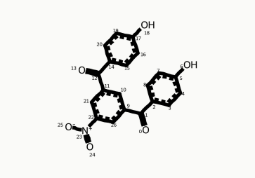 O=C(c1ccc(O)cc1)c1cc(C(=O)c2ccc(O)cc2)cc([N+](=O)[O-])c1